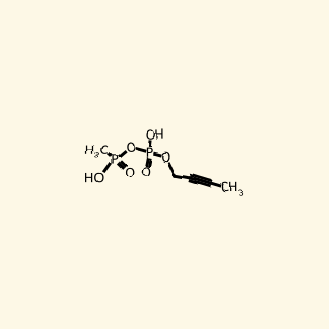 CC#CCOP(=O)(O)OP(C)(=O)O